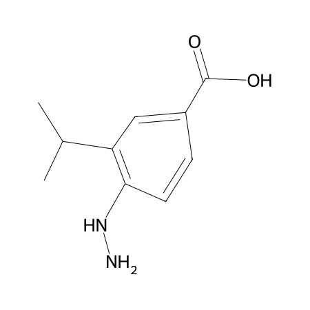 CC(C)c1cc(C(=O)O)ccc1NN